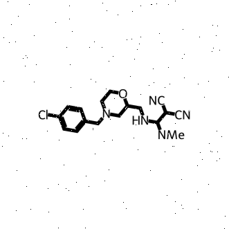 CNC(NCC1CN(Cc2ccc(Cl)cc2)CCO1)C(C#N)C#N